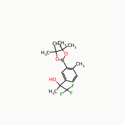 Cc1ccc(C(C)(O)C(F)(F)F)cc1B1OC(C)(C)C(C)(C)O1